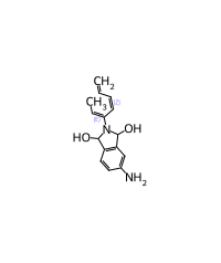 C=C/C=C\C(=C/C)N1C(O)c2ccc(N)cc2C1O